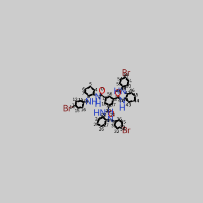 O=C(Nc1ccccc1Nc1ccc(Br)cc1)c1cc(C(=O)Nc2ccccc2Nc2ccc(Br)cc2)cc(C(=O)Nc2ccccc2Nc2ccc(Br)cc2)c1